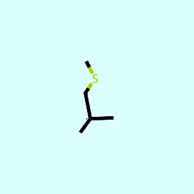 CSC[C](C)C